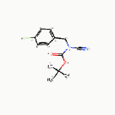 CC(C)(C)OC(=O)N(C#N)Cc1ccc(F)cc1